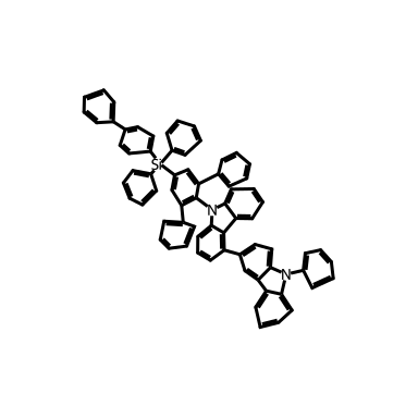 c1ccc(-c2ccc([Si](c3ccccc3)(c3ccccc3)c3cc(-c4ccccc4)c(-n4c5ccccc5c5c(-c6ccc7c(c6)c6ccccc6n7-c6ccccc6)cccc54)c(-c4ccccc4)c3)cc2)cc1